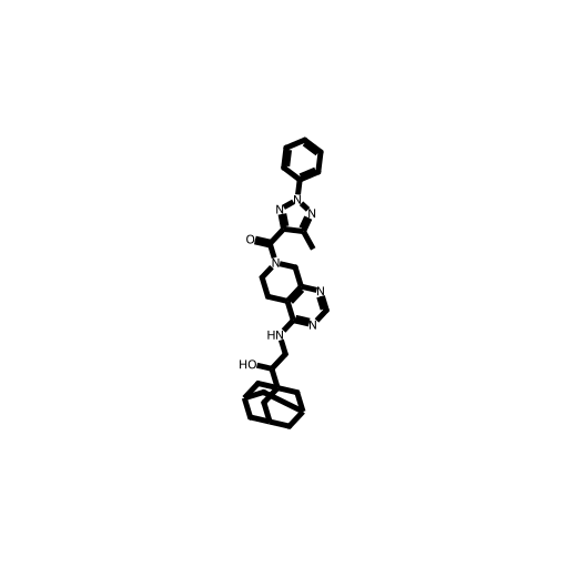 Cc1nn(-c2ccccc2)nc1C(=O)N1CCc2c(ncnc2NCC(O)C23CC4CC(CC(C4)C2)C3)C1